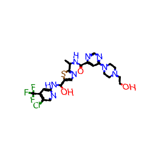 CC(NC(=O)c1cc(N2CCN(CCO)CC2)ncn1)c1ncc(C(O)Nc2cc(C(F)(F)F)c(Cl)cn2)s1